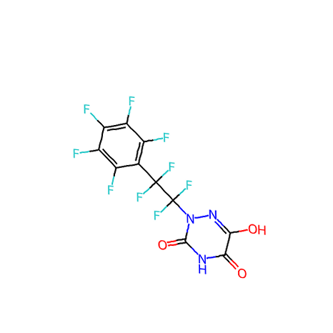 O=c1[nH]c(=O)n(C(F)(F)C(F)(F)c2c(F)c(F)c(F)c(F)c2F)nc1O